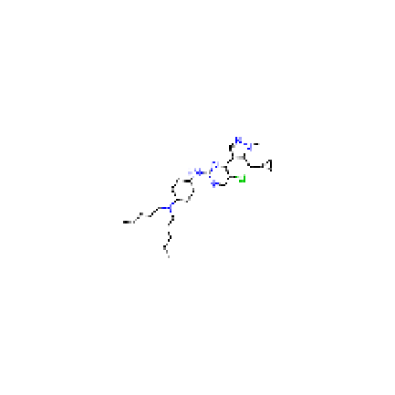 CCCCCN(CCCCC)C1CCC(Nc2ncc(Cl)c(-c3cnn(C)c3CC3CC3)n2)CC1